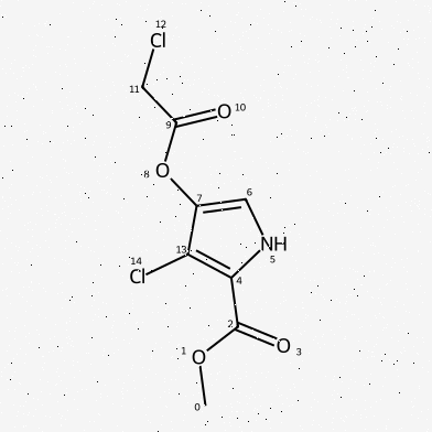 COC(=O)c1[nH]cc(OC(=O)CCl)c1Cl